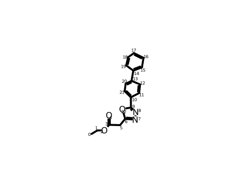 CCOC(=O)Cc1nnc(-c2ccc(-c3ccccc3)cc2)o1